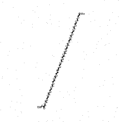 COCCOCCOCCOCCOCCOCCOCCOCCOCCOCCOCCOCCOCCOCCOCCOCCOCCOCCOCCOCCOCCOCCOCC(=O)OC(C)(C)C